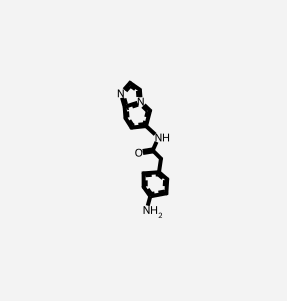 Nc1ccc(CC(=O)Nc2ccc3nccn3c2)cc1